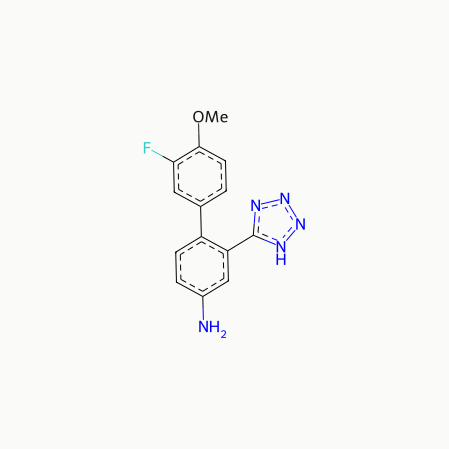 COc1ccc(-c2ccc(N)cc2-c2nnn[nH]2)cc1F